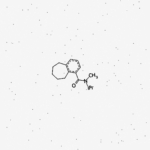 CC(C)N(C)C(=O)c1cccc2c1CCCCC2